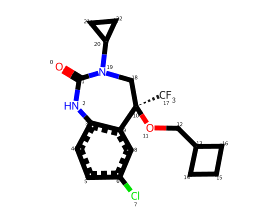 O=C1Nc2ccc(Cl)cc2[C@@](OCC2CCC2)(C(F)(F)F)CN1C1CC1